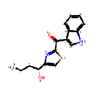 CCC[C@@H](O)c1csc(C(=O)c2c[nH]c3ccccc23)n1